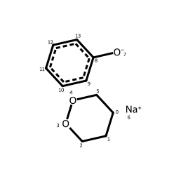 C1CCOOC1.[Na+].[O-]c1ccccc1